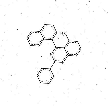 Cc1cccc2nc(-c3ccccc3)nc(-c3cccc4ccccc34)c12